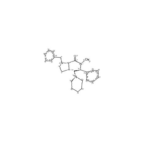 CN(C(=O)C1CCCN1Cc1ccccc1)[C@H](CN1CCCCC1)c1ccccc1